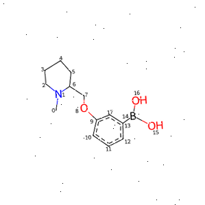 CN1CCCCC1COc1cccc(B(O)O)c1